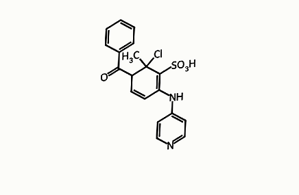 CC1(Cl)C(S(=O)(=O)O)=C(Nc2ccncc2)C=CC1C(=O)c1ccccc1